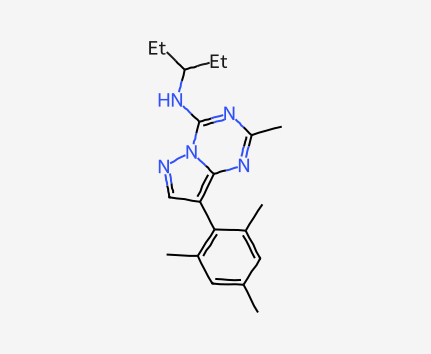 CCC(CC)Nc1nc(C)nc2c(-c3c(C)cc(C)cc3C)cnn12